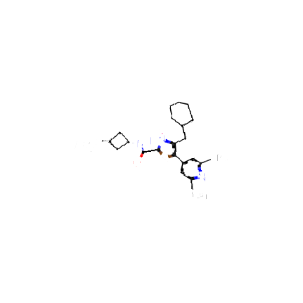 CC(C)(C)c1cc(-c2sc(C(=O)N[C@H]3C[C@H](C(=O)O)C3)[n+]([O-])c2CC2CCCCC2)cc(C(C)(C)C)n1